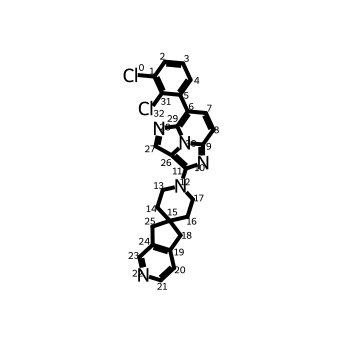 Clc1cccc(-c2ccc3nc(N4CCC5(CC4)Cc4ccncc4C5)c4cnc2n34)c1Cl